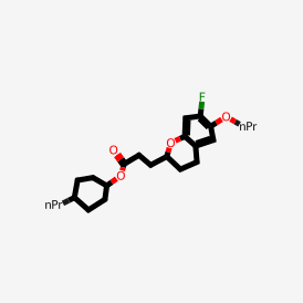 CCCOc1cc2c(cc1F)OC(CCC(=O)OC1CCC(CCC)CC1)CC2